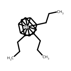 CCC[C]12[CH]3[CH]4[C]5(CCC)[C]1(CCC)[Fe]34251678[CH]2[CH]1[CH]6[CH]7[CH]28